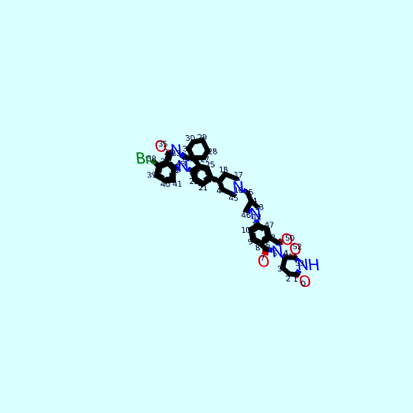 O=C1CCC(N2C(=O)c3ccc(N4CC(CN5CCC(c6ccc7c(c6)C6(CCCCC6)c6nc(=O)c8c(Br)cccc8n6-7)CC5)C4)cc3C2=O)C(=O)N1